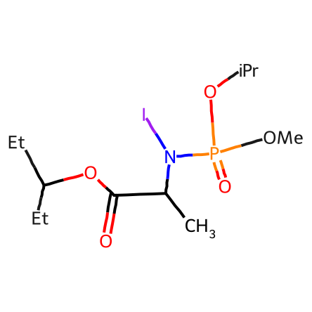 CCC(CC)OC(=O)C(C)N(I)P(=O)(OC)OC(C)C